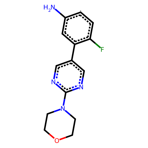 Nc1[c]cc(F)c(-c2cnc(N3CCOCC3)nc2)c1